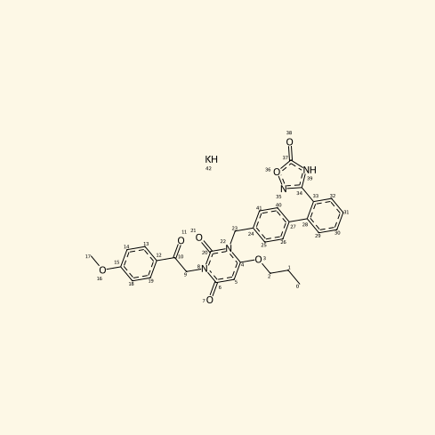 CCCOc1cc(=O)n(CC(=O)c2ccc(OC)cc2)c(=O)n1Cc1ccc(-c2ccccc2-c2noc(=O)[nH]2)cc1.[KH]